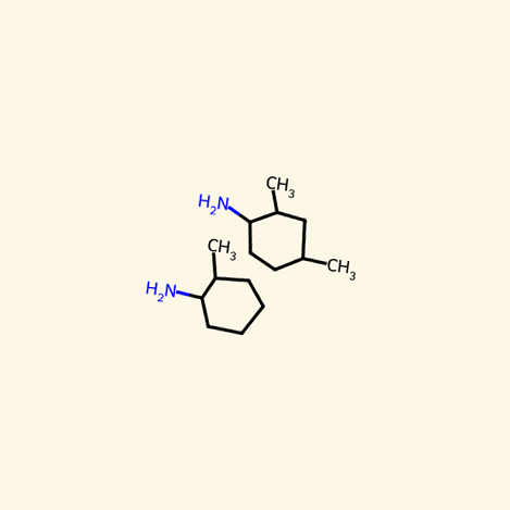 CC1CCC(N)C(C)C1.CC1CCCCC1N